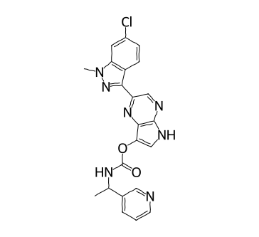 CC(NC(=O)Oc1c[nH]c2ncc(-c3nn(C)c4cc(Cl)ccc34)nc12)c1cccnc1